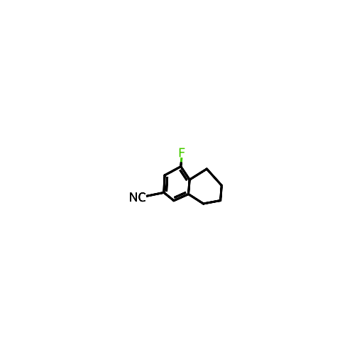 N#Cc1cc(F)c2c(c1)CCCC2